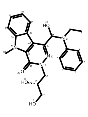 CCN(c1ccccc1)C(O)c1nn(C[C@@H](O)CO)c(=O)c2c1c1ccccc1n2C